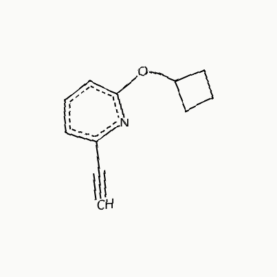 C#Cc1cccc(OC2CCC2)n1